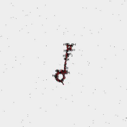 CCCCCC(=O)N[C@H]1CSCc2cccc(c2)CSC[C@@H](C(=O)N[C@@H](CC(=O)O)C(=O)NCCCNCCOCCOCCCNC(=O)CCC(=O)N[C@@H](CCCCNC(=O)CN2CCN(CC(=O)O)CCN(CC(=O)O)CCN(CC(=O)O)CC2)C(N)=O)NC(=O)[C@H](Cc2ccccc2)NC(=O)[C@H](CCC(N)=O)NC(=O)[C@H]([C@@H](C)O)NC(=O)[C@@H]2CCCN2C(=O)[C@@H]2CCCN2C1=O